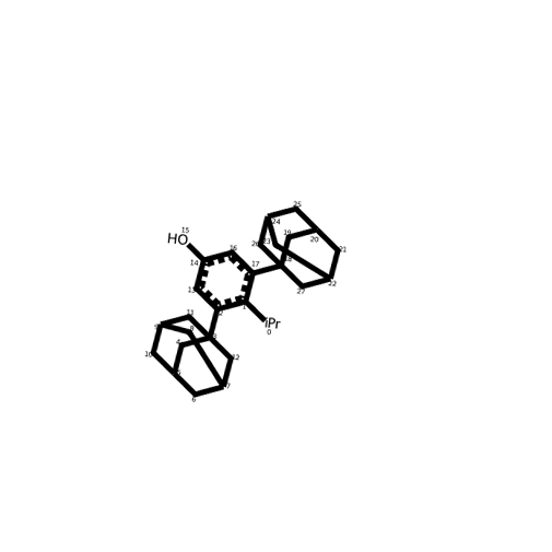 CC(C)c1c(C23CC4CC(CC(C4)C2)C3)cc(O)cc1C12CC3CC(CC(C3)C1)C2